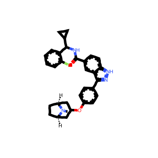 CN1[C@@H]2CC[C@H]1CC(Oc1ccc(-c3n[nH]c4ccc(C(=O)NC(c5ccccc5F)C5CC5)cc34)cc1)C2